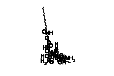 CCCCCCCCCCCCCCCC(=O)NCCOCCOCC(=O)NCC(=O)N[C@H](C(=O)N[C@@H](CCC(N)=O)C(=O)N[C@@H](Cc1c[nH]cn1)C(=O)N[C@@H](CO)C(=O)N[C@@H](CCCC)C(N)=O)[C@@H](C)O